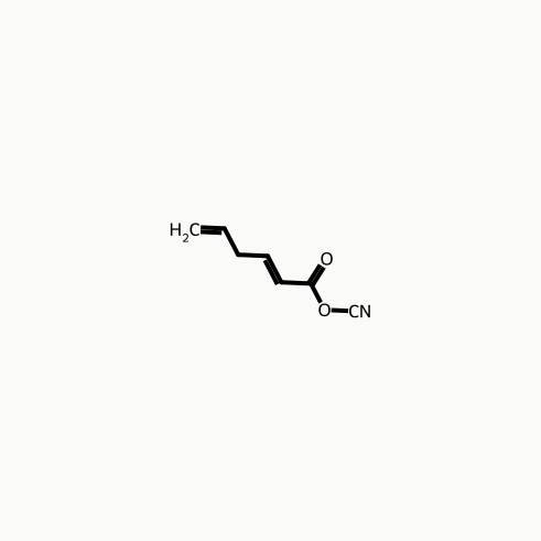 C=CCC=CC(=O)OC#N